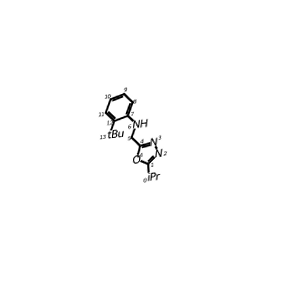 CC(C)c1nnc(CNc2ccccc2C(C)(C)C)o1